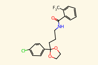 O=C(NCCCC1(c2ccc(Cl)cc2)OCCO1)c1ccccc1C(F)(F)F